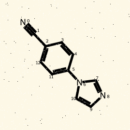 N#Cc1ccc(-n2[c]ncc2)cc1